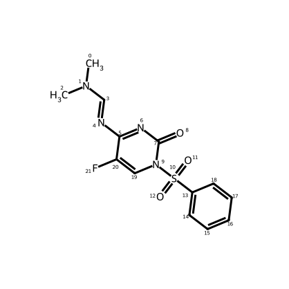 CN(C)/C=N/c1nc(=O)n(S(=O)(=O)c2ccccc2)cc1F